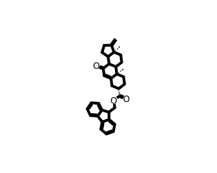 C=C1CCC2C3C(=O)C=C4C[C@@H](C(=O)OCC5c6ccccc6-c6ccccc65)CC[C@]4(C)C3CC[C@]12C